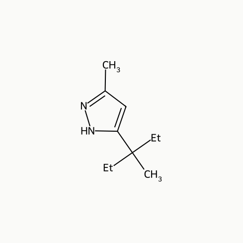 CCC(C)(CC)c1cc(C)n[nH]1